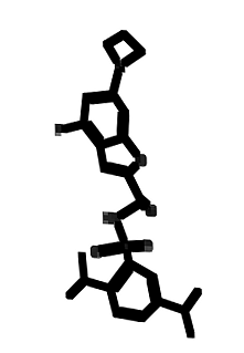 CC(C)c1ccc(C(C)C)c(S(=O)(=O)NC(=O)c2cc3c(F)cc(N4CCC4)cc3o2)c1